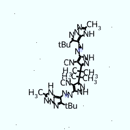 [C-]#[N+]c1c(C(C)(C)C(C)(C)c2n[nH]c(/N=N/c3c(C(C)(C)C)nn4nc(C)[nH]c34)c2[N+]#[C-])n[nH]c1/N=N/c1c(C(C)(C)C)nn2nc(C)[nH]c12